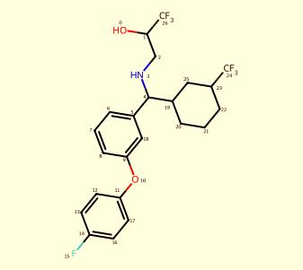 OC(CNC(c1cccc(Oc2ccc(F)cc2)c1)C1CCCC(C(F)(F)F)C1)C(F)(F)F